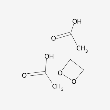 C1COO1.CC(=O)O.CC(=O)O